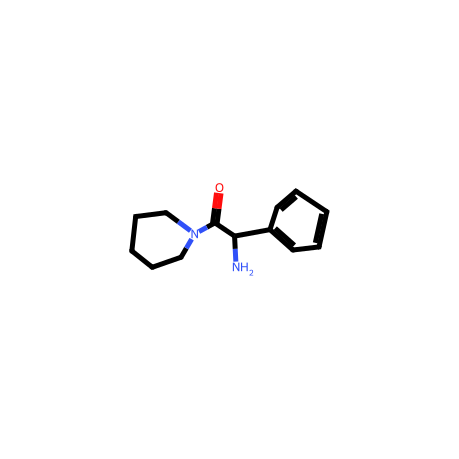 NC(C(=O)N1CCCCC1)c1ccccc1